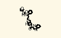 O=C(NC(CCN1CC2CN(C(=O)c3cnc4ccccc4n3)C[C@@H]2C1)c1ccccc1)OC1CCOC1